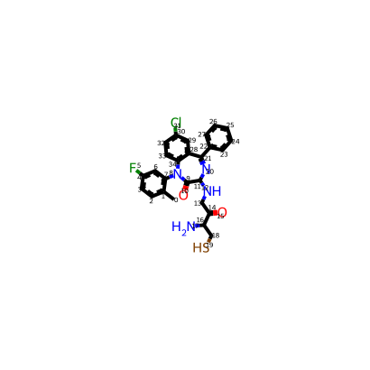 Cc1ccc(F)cc1N1C(=O)C(NCC(=O)C(N)CS)N=C(c2ccccc2)c2cc(Cl)ccc21